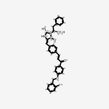 O=C(/C=C/c1ccc(/C=C2/N[C@H](S)N([C@@H](Cc3ccccc3)C(=O)O)[S+]2[O-])cc1)c1ccc(OCc2ccccc2F)cc1